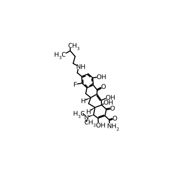 CC(C)CCNCc1cc(O)c2c(c1F)C[C@H]1C[C@H]3[C@H](N(C)C)C(O)=C(C(N)=O)C(=O)[C@@]3(O)C(O)=C1C2=O